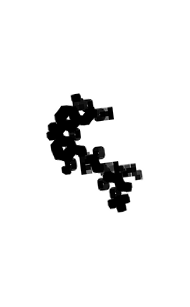 COc1ccc2c(c1CNC(=O)CNC(=O)[C@@H](N)C(C)OC(C)(C)C)Oc1c(ccc(OC)c1CC(=O)O)C2(C)C